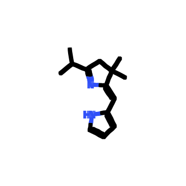 CC(C)C1=N/C(=C\c2ccc[nH]2)C(C)(C)C1